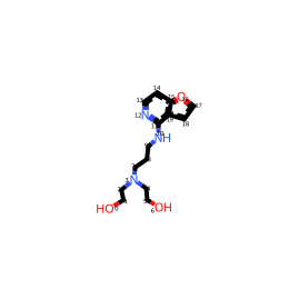 OCCN(CCO)CCCNc1nccc2occc12